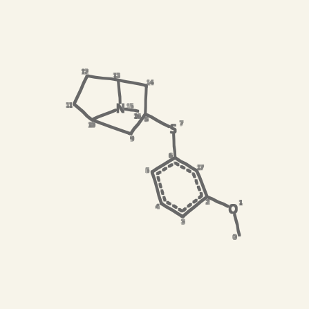 COc1cccc(SC2CC3CCC(C2)N3C)c1